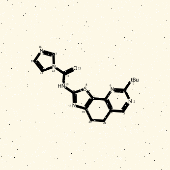 CC(C)(C)c1ncc2c(n1)-c1sc(NC(=O)n3ccnc3)nc1CC2